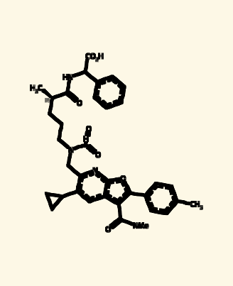 CNC(=O)c1c(-c2ccc(C)cc2)oc2nc(CN(CCC[C@@H](C)C(=O)NC(C(=O)O)c3ccccc3)[SH](=O)=O)c(C3CC3)cc12